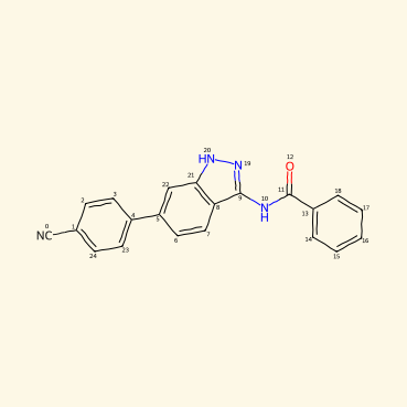 N#Cc1ccc(-c2ccc3c(NC(=O)c4ccccc4)n[nH]c3c2)cc1